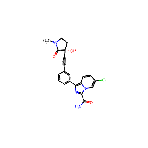 CN1CC[C@@](O)(C#Cc2cccc(-c3nc(C(N)=O)n4cc(Cl)ccc34)c2)C1=O